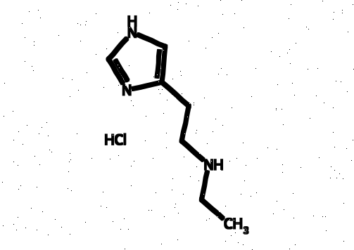 CCNCCc1c[nH]cn1.Cl